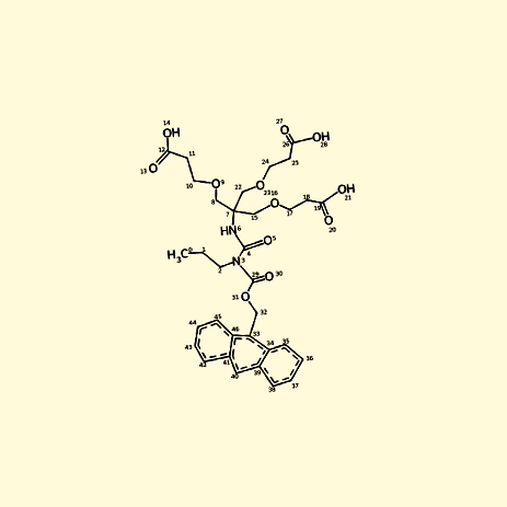 CCCN(C(=O)NC(COCCC(=O)O)(COCCC(=O)O)COCCC(=O)O)C(=O)OCc1c2ccccc2cc2ccccc12